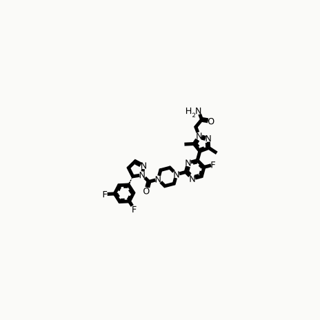 Cc1nn(CC(N)=O)c(C)c1-c1nc(N2CCN(C(=O)N3N=CC[C@H]3c3cc(F)cc(F)c3)CC2)ncc1F